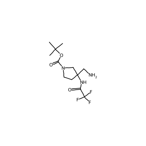 CC(C)(C)OC(=O)N1CCC(CN)(NC(=O)C(F)(F)F)C1